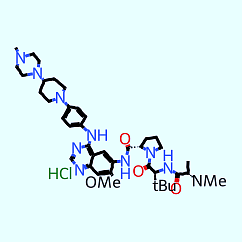 CN[C@@H](C)C(=O)N[C@H](C(=O)N1CCC[C@H]1C(=O)Nc1cc2c(Nc3ccc(N4CCC(N5CCN(C)CC5)CC4)cc3)ncnc2cc1OC)C(C)(C)C.Cl